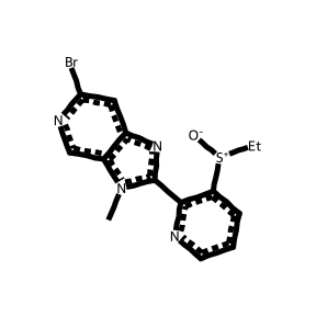 CC[S+]([O-])c1cccnc1-c1nc2cc(Br)ncc2n1C